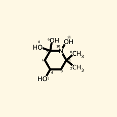 CC1(C)CC(O)CC(O)(O)N1O